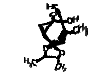 C#CC1(O)C(C)=CC2(OC(C)C(C)O2)C2CC21C